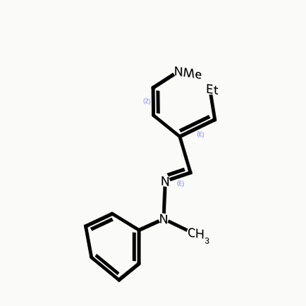 CC/C=C(\C=C/NC)/C=N/N(C)c1ccccc1